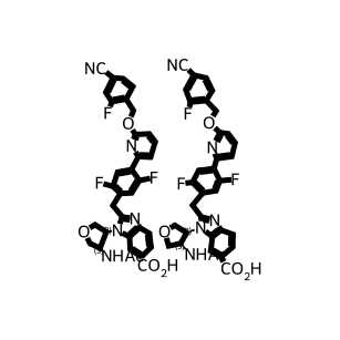 CC(=O)N[C@@H]1COC[C@@H]1n1c(Cc2cc(F)c(-c3cccc(OCc4ccc(C#N)cc4F)n3)cc2F)nc2ccc(C(=O)O)cc21.CC(=O)N[C@@H]1COC[C@@H]1n1c(Cc2cc(F)c(-c3cccc(OCc4ccc(C#N)cc4F)n3)cc2F)nc2ccc(C(=O)O)cc21